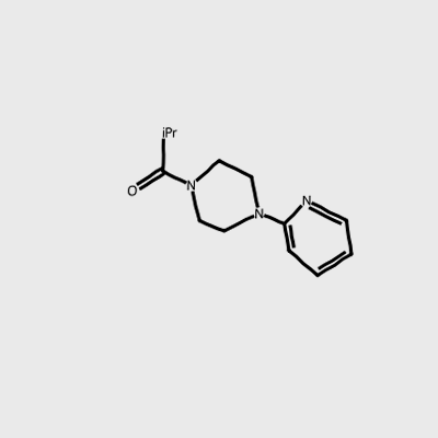 CC(C)C(=O)N1CCN(c2ccccn2)CC1